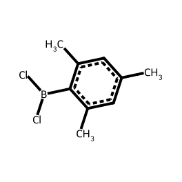 Cc1cc(C)c(B(Cl)Cl)c(C)c1